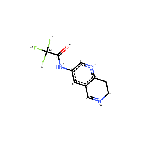 O=C(Nc1cnc2c(c1)C=NCC2)C(F)(F)F